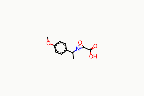 COc1ccc(C(C)N2OC2C(=O)O)cc1